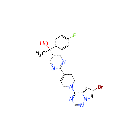 CC(O)(c1ccc(F)cc1)c1cnc(C2=CCN(c3ncnn4cc(Br)cc34)CC2)nc1